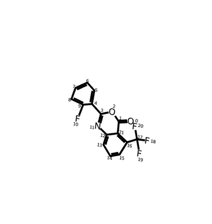 O=c1oc(-c2ccccc2F)nc2cccc(C(F)(F)F)c12